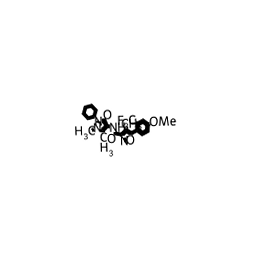 COc1ccc(-c2onc(C(=O)Nc3c(C)n(C)n(C4CCCCC4)c3=O)c2C)c(C(F)(F)F)c1